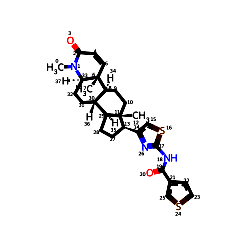 CN1C(=O)C=C[C@]2(C)[C@H]3CC[C@]4(C)[C@@H](c5csc(NC(=O)c6ccsc6)n5)CC[C@H]4[C@@H]3CC[C@@H]12